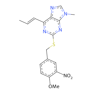 CC=Cc1nc(SCc2ccc(OC)c([N+](=O)[O-])c2)nc2c1ncn2C